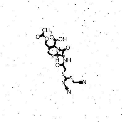 CC(=O)OCC1=C(C(=O)O)N2C(=O)[C@@H](NC(=O)CSC(=NC#N)SCC#N)[C@H]2SC1